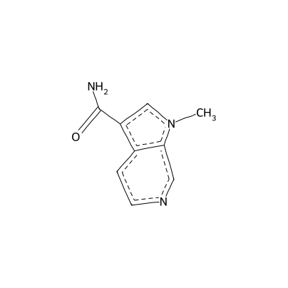 Cn1cc(C(N)=O)c2ccncc21